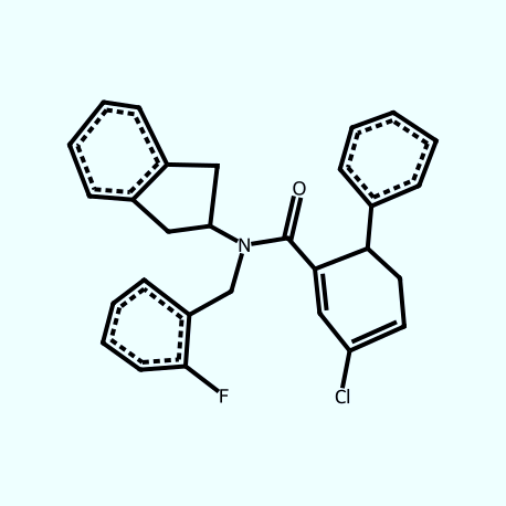 O=C(C1=CC(Cl)=CCC1c1ccccc1)N(Cc1ccccc1F)C1Cc2ccccc2C1